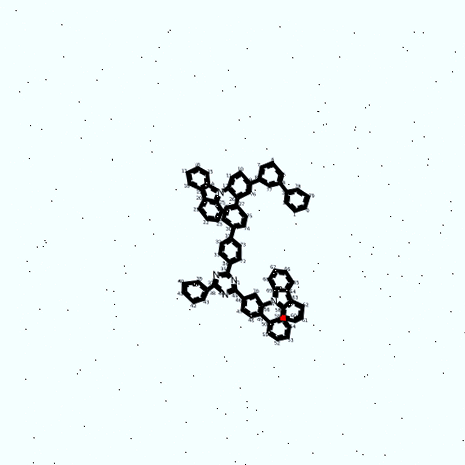 c1ccc(-c2cccc(-c3ccc(-n4c5ccccc5c5ccccc54)c(-c4ccc(-c5ccc(-c6nc(-c7ccccc7)nc(-c7ccc(-c8ccccc8)c(-n8c9ccccc9c9ccccc98)c7)n6)cc5)cc4)c3)c2)cc1